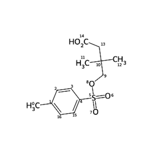 Cc1ccc(S(=O)(=O)OCC(C)(C)CC(=O)O)cc1